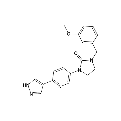 COc1cccc(CN2CCN(c3ccc(-c4cn[nH]c4)nc3)C2=O)c1